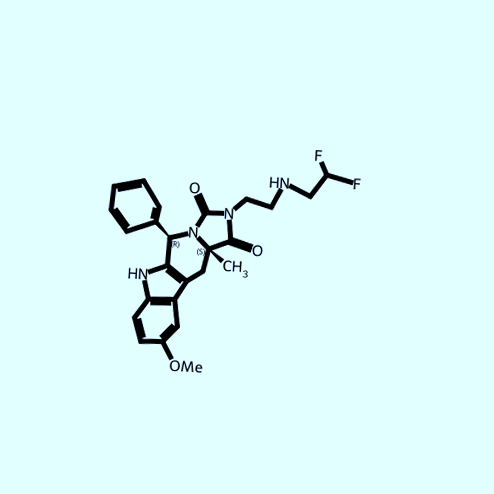 COc1ccc2[nH]c3c(c2c1)C[C@@]1(C)C(=O)N(CCNCC(F)F)C(=O)N1[C@@H]3c1ccccc1